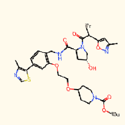 Cc1cc(C(C(=O)N2C[C@H](O)C[C@H]2C(=O)NCc2ccc(-c3scnc3C)cc2OCCOC2CCN(C(=O)OC(C)(C)C)CC2)C(C)C)on1